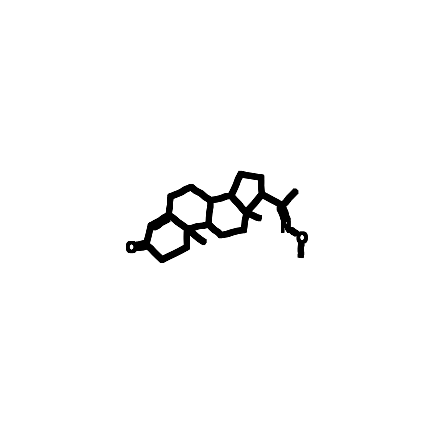 CON=C(C)C1CCC2C3CCC4=CC(=O)CCC4(C)C3CCC12C